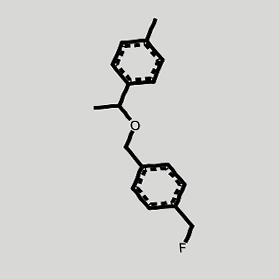 Cc1ccc(C(C)OCc2ccc(CF)cc2)cc1